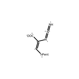 CCCCCC=C(N=[N+]=N)C(=O)[O-]